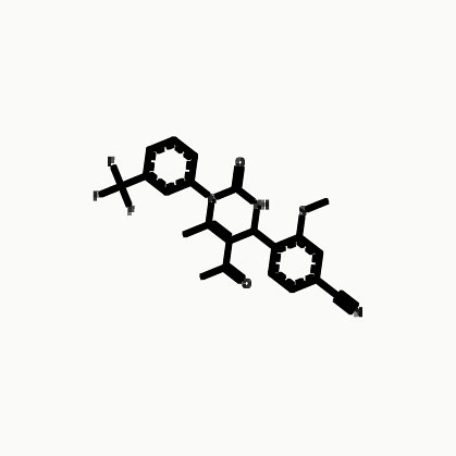 CSc1cc(C#N)ccc1C1NC(=O)N(c2cccc(C(F)(F)F)c2)C(C)=C1C(C)=O